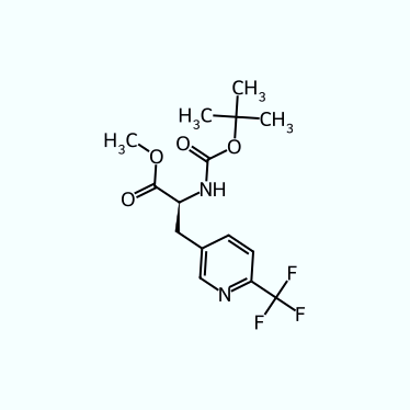 COC(=O)[C@H](Cc1ccc(C(F)(F)F)nc1)NC(=O)OC(C)(C)C